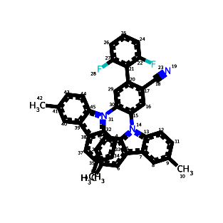 Cc1ccc2c(c1)c1cc(C)ccc1n2-c1cc(C#N)c(-c2c(F)cccc2F)cc1-n1c2ccc(C)cc2c2cc(C)ccc21